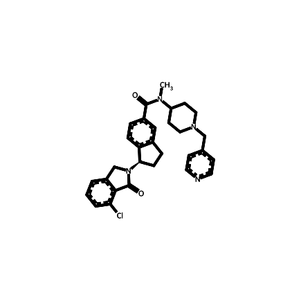 CN(C(=O)c1ccc2c(c1)CC[C@H]2N1Cc2cccc(Cl)c2C1=O)C1CCN(Cc2ccncc2)CC1